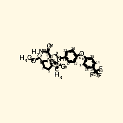 COC[C@@H]1CCCN1[C@@H](CN(c1ccc(Oc2ccc(C(F)(F)F)cc2)cc1)S(C)(=O)=O)C(N)=O